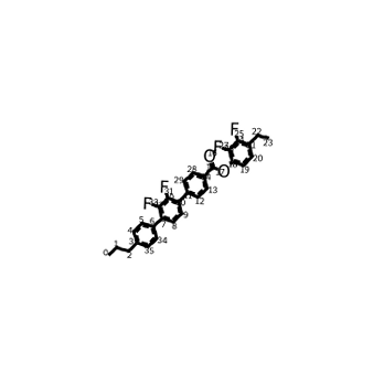 CCCc1ccc(-c2ccc(-c3ccc(C(=O)Oc4ccc(CC)c(F)c4F)cc3)c(F)c2F)cc1